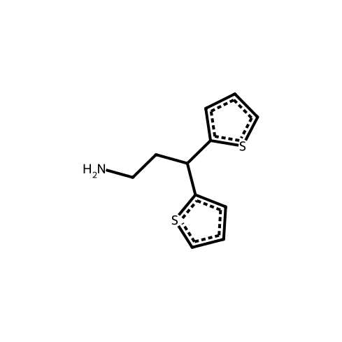 NCCC(c1cccs1)c1cccs1